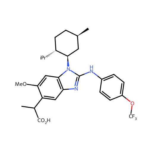 COc1cc2c(cc1C(C)C(=O)O)nc(Nc1ccc(OC(F)(F)F)cc1)n2[C@@H]1C[C@H](C)CC[C@H]1C(C)C